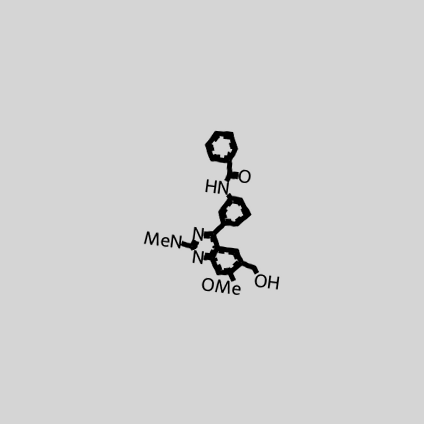 CNc1nc(-c2cccc(NC(=O)c3ccccc3)c2)c2cc(CO)c(OC)cc2n1